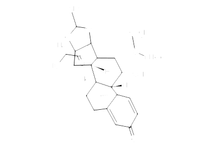 CCCC1O[C@@H]2C[C@H]3[C@@H]4CCC5=CC(=O)C=C[C@]5(C)[C@H]4[C@@H](O)C[C@]3(C)[C@]2(C(=O)CO)O1.CCCCCCOC(=O)O